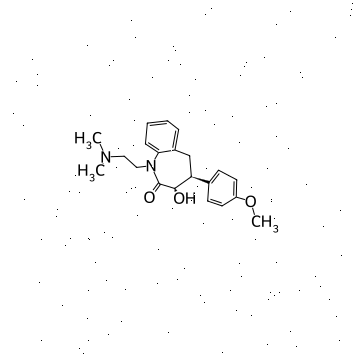 COc1ccc([C@@H]2Cc3ccccc3N(CCN(C)C)C(=O)[C@@H]2O)cc1